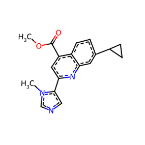 COC(=O)c1cc(-c2cncn2C)nc2cc(C3CC3)ccc12